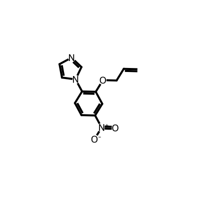 C=CCOc1cc([N+](=O)[O-])ccc1-n1ccnc1